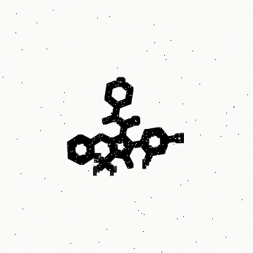 Cc1c(-c2ccc(Cl)cc2F)c(C(=O)N(C)C2CCOCC2)n(Cc2ccccc2)c1C(F)(F)F